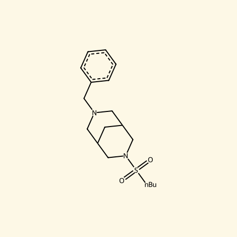 CCCCS(=O)(=O)N1CC2CC(CN(Cc3ccccc3)C2)C1